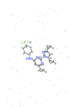 Cc1cc(NC2CCC(F)(F)CC2)nc(-n2nc(C)cc2C)n1